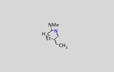 C=C(/N=C\C(=C/C)CC)NC